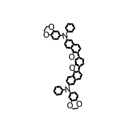 c1ccc(N(c2ccc3c(c2)OCCO3)c2ccc3c(ccc4c5ccc6c7ccc8cc(N(c9ccccc9)c9ccc%10c(c9)OCCO%10)ccc8c7oc6c5oc34)c2)cc1